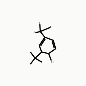 CC(C)(C)C1C=C(C(F)(F)F)C=CC1Cl